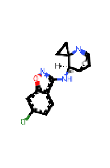 Clc1ccc2c(N[C@@H]3C4CCN(CC4)C34CC4)noc2c1